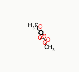 CCOC(=O)C1COc2cc(CC(C)=O)ccc2O1